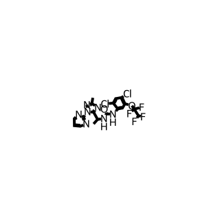 Cc1nc(C(C)NC(=O)Nc2cc(OC(F)(F)C(F)F)c(Cl)cc2Cl)n(-c2ncccn2)n1